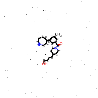 Cc1cc(C(=O)N2CCC(CCCCO)CC2)cc(C2CCCCNCC2)c1